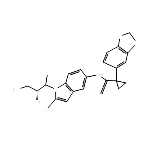 CC([C@@H](O)CO)n1c(C(C)(C)C)cc2cc(NC(=O)C3(c4ccc5c(c4)OCO5)CC3)ccc21